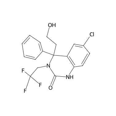 O=C1Nc2ccc(Cl)cc2C(CCO)(c2ccccc2)N1CC(F)(F)F